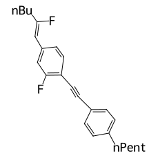 CCCCCc1ccc(C#Cc2ccc(C=C(F)CCCC)cc2F)cc1